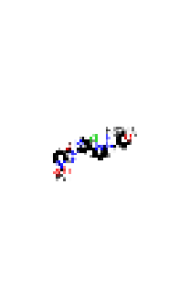 CC(C)(C)OC(=O)N1CCC[C@@H](C(=O)Nc2cc(-c3cccc(NC[C@@H]4CCOC(C)(C)C4)n3)c(Cl)cn2)C1